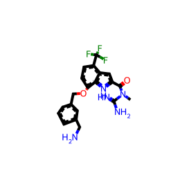 CN(C(=N)N)C(=O)c1cc2c(C(F)(F)F)ccc(OCc3cccc(CN)c3)c2[nH]1